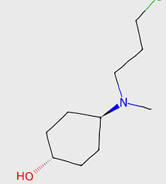 CN(CCCCl)[C@H]1CC[C@H](O)CC1